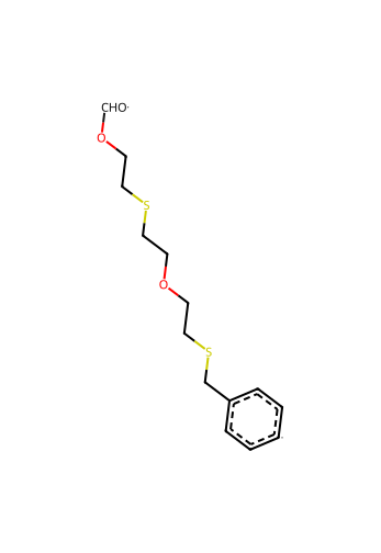 O=[C]OCCSCCOCCSCc1cc[c]cc1